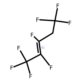 F/C(CC(F)(F)F)=C(/F)C(F)(F)F